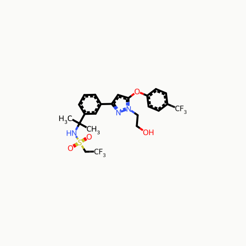 CC(C)(NS(=O)(=O)CC(F)(F)F)c1cccc(-c2cc(Oc3ccc(C(F)(F)F)cc3)n(CCO)n2)c1